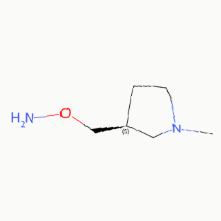 CN1CC[C@H](CON)C1